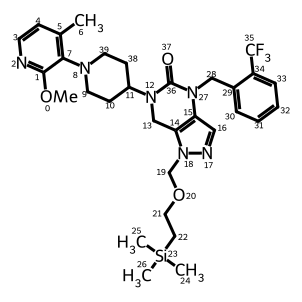 COc1nccc(C)c1N1CCC(N2Cc3c(cnn3COCC[Si](C)(C)C)N(Cc3ccccc3C(F)(F)F)C2=O)CC1